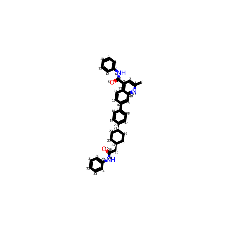 Cc1cc(C(=O)Nc2ccccc2)c2ccc(-c3ccc([C@H]4CC[C@H](CC(=O)Nc5ccccc5)CC4)cc3)cc2n1